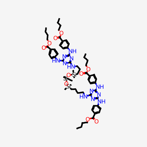 CCCCOC(=O)c1ccc(Nc2nc(NCCCC[Si](C)(C)O[Si](C)(C)O[Si](C)(C)CCCNc3nc(Nc4ccc(C(=O)OCCCC)cc4)nc(Nc4ccc(C(=O)OCCCC)cc4)n3)nc(Nc3ccc(C(=O)OCCCC)cc3)n2)cc1